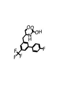 O=CC(Cc1cc(-c2ccc(F)cc2)cc(C(F)(F)F)c1)NC(=O)O